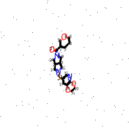 O=C(C1CCCOC1)N1CC2CN(Sc3cnc4c(c3)OCCO4)CC2C1